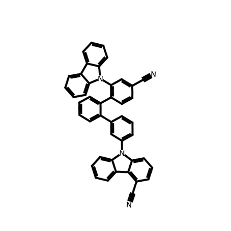 N#Cc1ccc(-c2ccccc2-c2cccc(-n3c4ccccc4c4c(C#N)cccc43)c2)c(-n2c3ccccc3c3ccccc32)c1